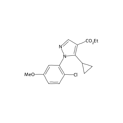 CCOC(=O)c1cnn(-c2cc(OC)ccc2Cl)c1C1CC1